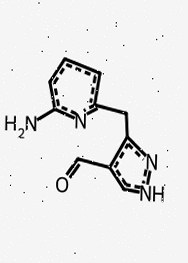 Nc1cccc(Cc2n[nH]cc2C=O)n1